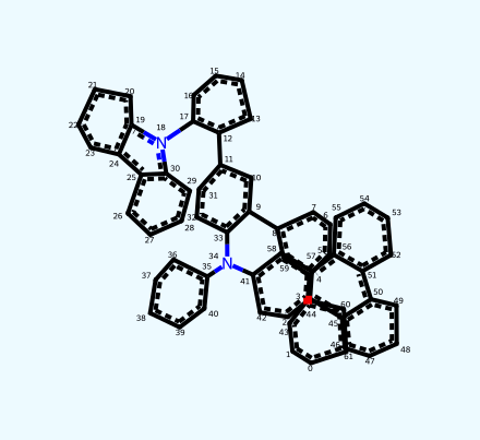 c1ccc(-c2cccc(-c3cc(-c4ccccc4-n4c5ccccc5c5ccccc54)ccc3N(c3ccccc3)c3ccc4c5ccccc5c5ccccc5c4c3)c2)cc1